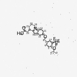 CC(C)Oc1ccc(COc2ccc3c(c2)cc2n3CCCC2CC(=O)O)cc1C(F)(F)F